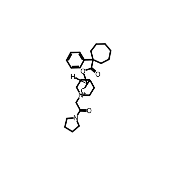 O=C(C[N+]12CCC(CC1)[C@@H](OC(=O)C1(c3ccccc3)CCCCCC1)C2)N1CCCC1